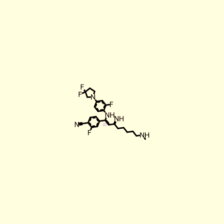 CNCCCCCC(=N)/C=C(\Nc1ccc(N2CCC(F)(F)C2)cc1F)c1ccc(C#N)c(F)c1